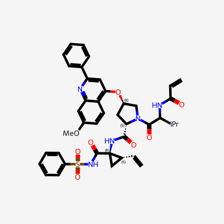 C=CC(=O)NC(C(=O)N1C[C@H](Oc2cc(-c3ccccc3)nc3cc(OC)ccc23)C[C@H]1C(=O)N[C@]1(C(=O)NS(=O)(=O)c2ccccc2)C[C@H]1C=C)C(C)C